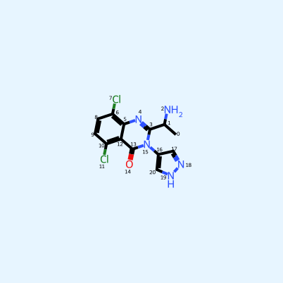 CC(N)c1nc2c(Cl)ccc(Cl)c2c(=O)n1-c1cn[nH]c1